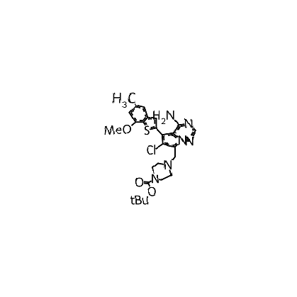 COc1cc(C)cc2cc(-c3c(Cl)c(CN4CCN(C(=O)OC(C)(C)C)CC4)n4ncnc(N)c34)sc12